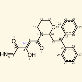 N=CC(=O)/C(O)=C/C(=O)N1CCCOC1CC(c1ccccc1)c1ccccc1